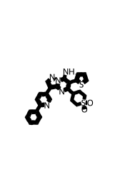 Nc1c(-c2cccs2)c(C2CCS(=O)(=O)CC2)nc2c(-c3ccc(-c4ccccc4)nc3)cnn12